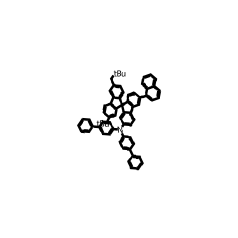 CC(C)(C)Cc1ccc2c(c1)-c1ccc(C(C)(C)C)cc1C21c2ccc(-c3cccc4ccccc34)cc2-c2ccc(N(c3ccc(-c4ccccc4)cc3)c3ccc(-c4ccccc4)cc3)cc21